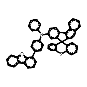 c1ccc(N(c2ccc(-c3cccc4c3oc3ccccc34)cc2)c2ccc3c(c2)C2(c4ccccc4Sc4ccccc42)c2ccc4ccccc4c2-3)cc1